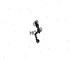 COC(=O)c1ccc(CCN2C(=O)CC[C@@H]2C=C[C@@H](O)[C@@H](C)CCCCc2ccccc2)cc1